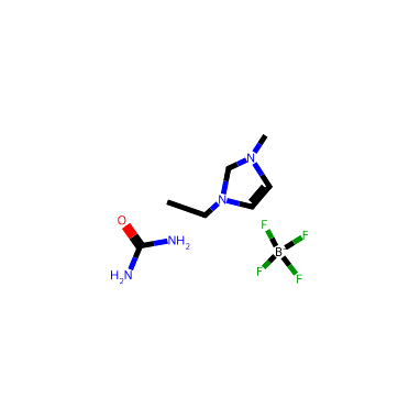 CCN1C=CN(C)C1.F[B-](F)(F)F.NC(N)=O